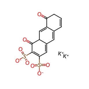 O=C1CC=CC2=CC3=CC(S(=O)(=O)[O-])=C(S(=O)(=O)[O-])C(=O)C3C=C12.[K+].[K+]